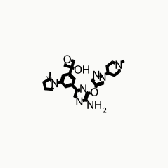 C[C@@H]1CCCN1c1cc(-c2cnc(N)c(Oc3cnn(C4CCN(C)CC4)c3)n2)cc(C2(O)COC2)c1